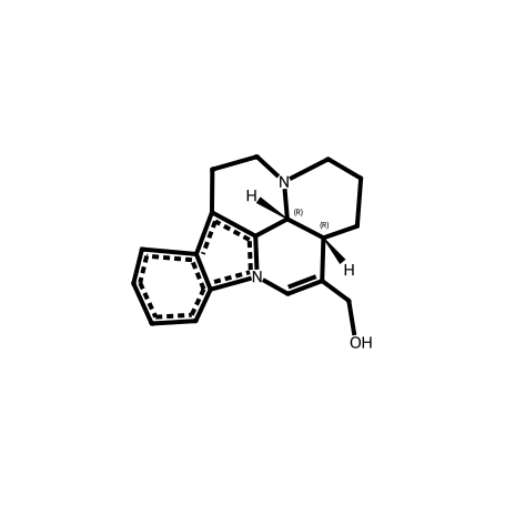 OCC1=Cn2c3c(c4ccccc42)CCN2CCC[C@H]1[C@H]32